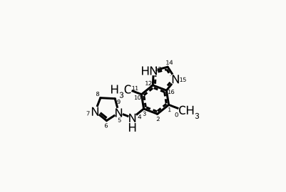 Cc1cc(NN2C=NCC2)c(C)c2[nH]cnc12